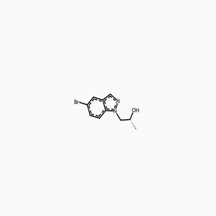 C[C@@H](O)Cn1ncc2cc(Br)ccc21